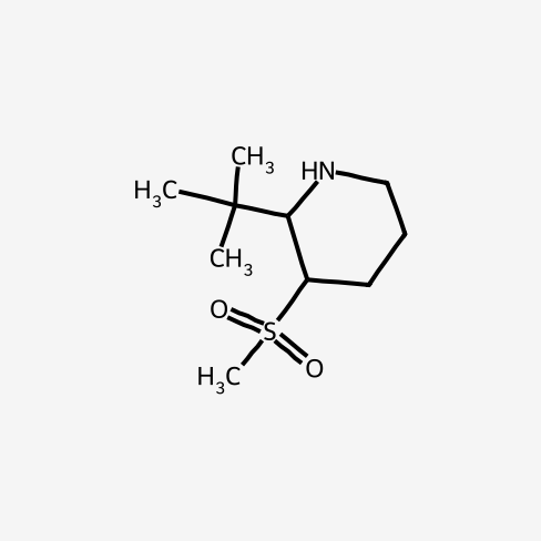 CC(C)(C)C1NCCCC1S(C)(=O)=O